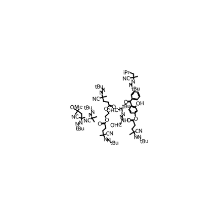 CC(C)(C)N(C=O)N=NNC=O.CC(C)(C)N=NC(C)(C#N)CCC(=O)OCCOC(=O)CCC(C)(C#N)N=NC(C)(C)C.CC(C)(C)N=NC(C)(C#N)CCC(=O)Oc1ccc(C(=O)c2ccccc2)c(O)c1.CC(C)(C)N=NC(C)(C)C#N.CC(C)CC(C)(C#N)N=NC(C)(C)C.COC(C)(C)CC(C)(C#N)N=NC(C)(C)C